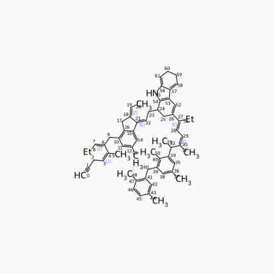 C#CC/C=C(C)\C(=C/CC)Cc1cc(C)cc2c1CC(=C/C)/C2=C\CC1CC(/C(=C/C=C(/C)C(C)c2cc(C)cc(Cc3cc(C)ccc3C)c2C)CC)=Cc2c1[nH]c1c2=CCCC=1